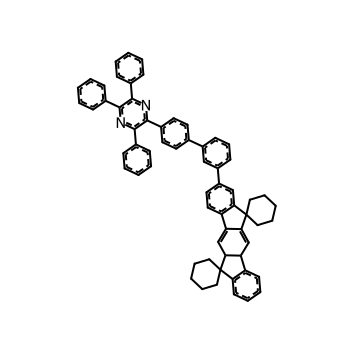 C1=C2C(=CC3c4ccccc4C4(CCCCC4)C13)C1(CCCCC1)c1cc(-c3cccc(-c4ccc(-c5nc(-c6ccccc6)c(-c6ccccc6)nc5-c5ccccc5)cc4)c3)ccc12